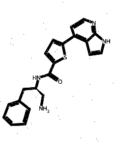 NC[C@@H](Cc1ccccc1)NC(=O)c1ccc(-c2ccnc3[nH]ccc23)s1